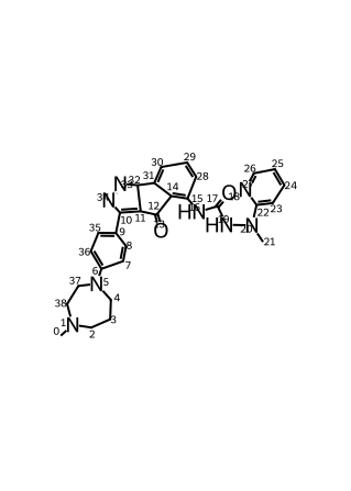 CN1CCCN(c2ccc(C3=C4C(=O)c5c(NC(=O)NN(C)c6ccccn6)cccc5C4N=N3)cc2)CC1